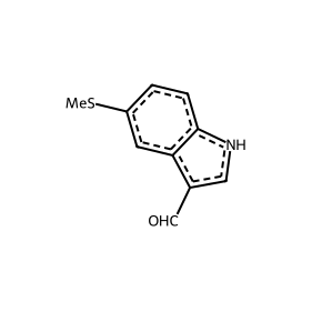 CSc1ccc2[nH]cc(C=O)c2c1